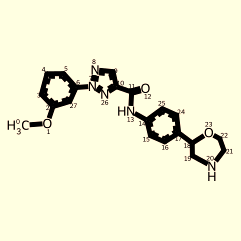 COc1cccc(-n2ncc(C(=O)Nc3ccc(C4CNCCO4)cc3)n2)c1